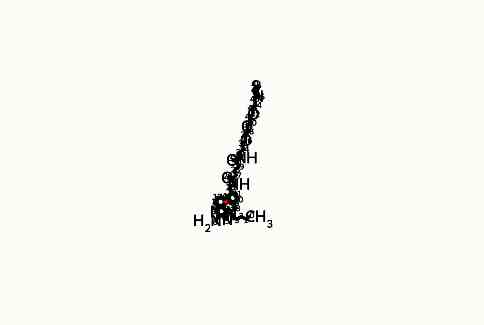 CCCCc1nc2c(N)nc3ccccc3c2n1Cc1ccc(CNC(=O)CCCC(=O)NCCCOCCOCCOCCCN=C=S)cc1